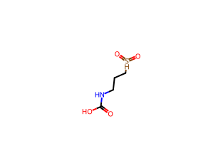 O=C(O)NCCC[SH](=O)=O